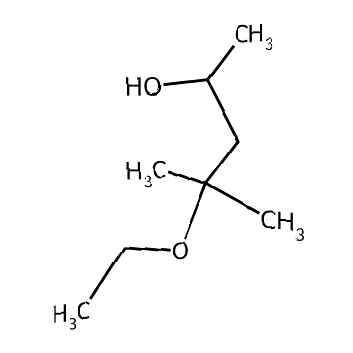 CCOC(C)(C)CC(C)O